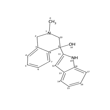 CN1Cc2ccccc2C(O)(c2cc3ccccc3[nH]2)C1